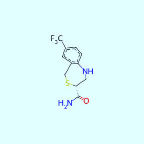 NC(=O)[C@H]1CNc2ccc(C(F)(F)F)cc2CS1